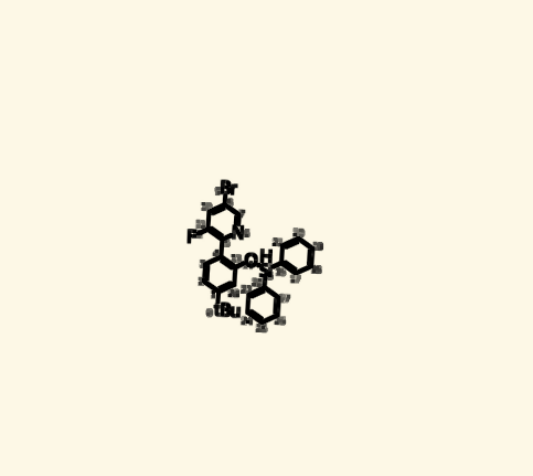 CC(C)(C)c1ccc(-c2ncc(Br)cc2F)c(O[SiH](c2ccccc2)c2ccccc2)c1